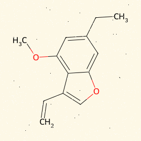 C=Cc1coc2cc(CC)cc(OC)c12